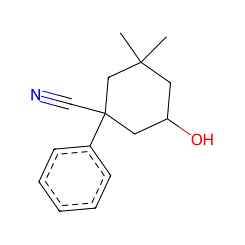 CC1(C)CC(O)CC(C#N)(c2ccccc2)C1